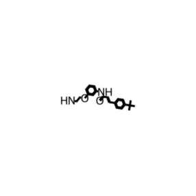 CNCCOc1cccc(NC(=O)/C=C/c2ccc(C(C)(C)C)cc2)c1